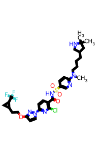 CN(CCCCC1CNC(C)(C)C1)c1ccc(S(=O)(=O)NC(=O)c2ccc(-n3ccc(OCCC4CC4C(F)(F)F)n3)nc2Cl)cn1